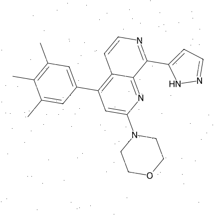 Cc1cc(-c2cc(N3CCOCC3)nc3c(-c4ccn[nH]4)nccc23)cc(C)c1C